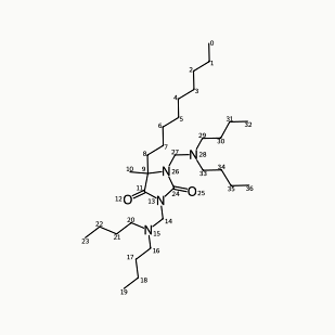 CCCCCCCCCC1(C)C(=O)N(CN(CCCC)CCCC)C(=O)N1CN(CCCC)CCCC